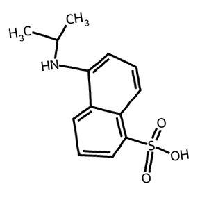 CC(C)Nc1cccc2c(S(=O)(=O)O)cccc12